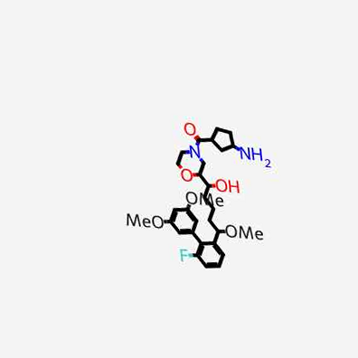 COc1cc(OC)cc(-c2c(F)cccc2C(CCCC(O)C2CN(C(=O)C3CCC(N)C3)CCO2)OC)c1